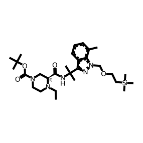 CCN1CCN(C(=O)OC(C)(C)C)C[C@H]1C(=O)NC(C)(C)c1nn(COCC[Si](C)(C)C)c2c(C)cccc12